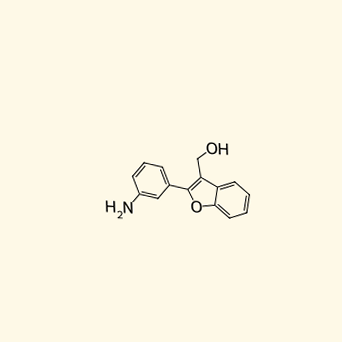 Nc1cccc(-c2oc3ccccc3c2CO)c1